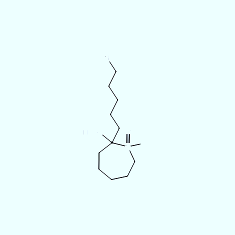 NCCCCCC1(C(=O)O)CCCCCP1(=O)O